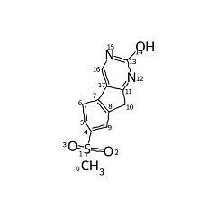 CS(=O)(=O)c1ccc2c(c1)Cc1nc(O)ncc1-2